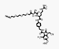 CCCCOc1nc(N)c2c(n1)n(CC#N)c(=O)n2C(=O)NCc1ccc(NC(=O)C(CCCNC(N)=O)NC(=O)C(NC(=O)COCCOCCOCCN=[N+]=[N-])C(C)C)cc1